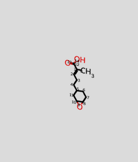 C/C(=C\CCC1CCC2OC2C1)C(=O)O